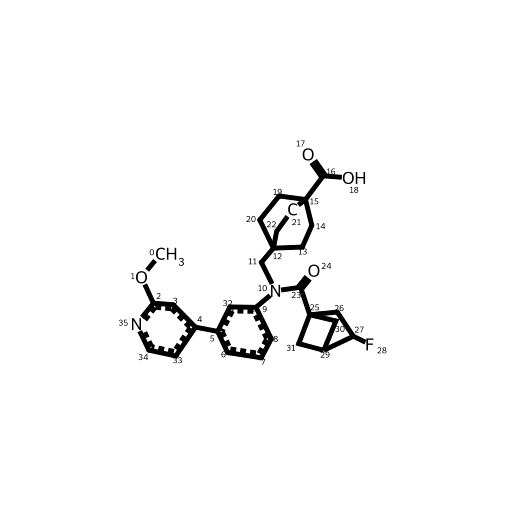 COc1cc(-c2cccc(N(CC34CCC(C(=O)O)(CC3)CC4)C(=O)C34CC(F)C(C3)C4)c2)ccn1